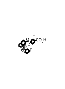 O=C(Nc1ccc(C(=O)O)c(F)c1)c1ccc2c(c1)N(S(=O)(=O)c1cccc(F)c1)CCC2